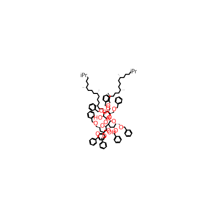 CC(C)CCC[C@@H](C)CCC[C@H](C)CCC[C@H](C)CCOC[C@@H](CO[C@H]1O[C@H](COCc2ccccc2)[C@@H](OCc2ccccc2)[C@H](OCc2ccccc2)[C@@]1(O[C@@H]1O[C@H](COCc2ccccc2)[C@@H](OCc2ccccc2)[C@H](OCc2ccccc2)[C@@H]1O)[C@@H]1O[C@H](COCc2ccccc2)[C@@H](OCc2ccccc2)[C@H](OCc2ccccc2)[C@@H]1O)OCC[C@@H](C)CCC[C@@H](C)CCC[C@H](C)CCCC(C)C